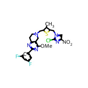 COc1nc(-c2cc(F)cc(F)c2)nc2c1CN(CC1SC(Cn3cc([N+](=O)[O-])nc3Cl)C1C)CC2